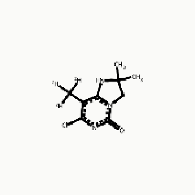 [2H]C([2H])([2H])c1c(Cl)nc(=O)n2c1NC(C)(C)C2